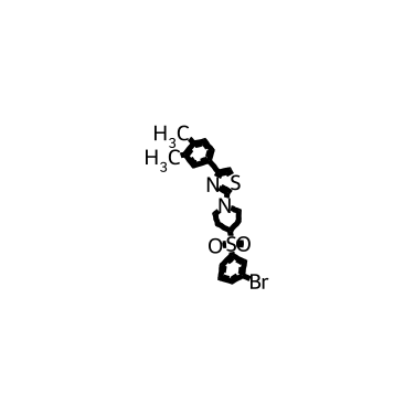 Cc1ccc(-c2csc(N3CCC(S(=O)(=O)c4cccc(Br)c4)CC3)n2)cc1C